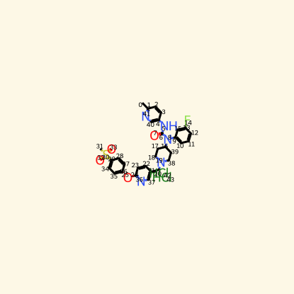 Cc1ccc(NC(=O)N(c2cccc(F)c2)C2CCN(Cc3ccc(Oc4ccc(S(C)(=O)=O)cc4)nc3)CC2)cn1.Cl.Cl